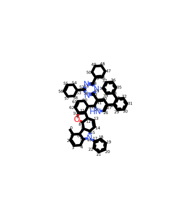 CC1C=CCC2C1C1C3OC4=C(C3C=CC1N2c1ccccc1)C(C1NC=C(c2ccccc2-c2ccccc2)C=C1c1nc(C2=CCCCC2)nc(C2CC=CCC2)n1)CC=C4